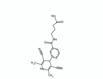 CC1=C(C#N)C(c2cccc(C(=O)NCCCC(=O)O)c2)C(C#N)=C(C)N1